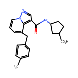 O=C(N[C@H]1CCC(C(=O)O)C1)c1cnn2cccc(Cc3ccc(C(F)(F)F)cc3)c12